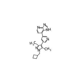 Cc1nn(CC2CCC2)c(C)c1-c1cncc(-c2ccnc3nc[nH]c23)c1